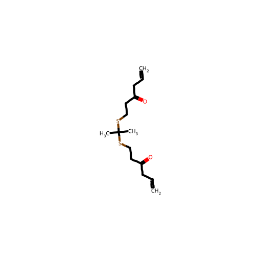 C=CCC(=O)CCSC(C)(C)SCCC(=O)CC=C